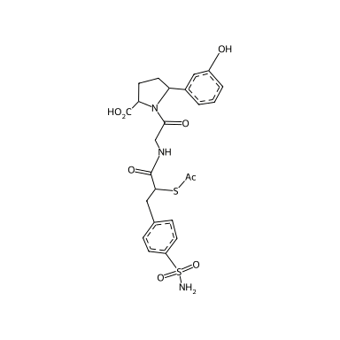 CC(=O)SC(Cc1ccc(S(N)(=O)=O)cc1)C(=O)NCC(=O)N1C(C(=O)O)CCC1c1cccc(O)c1